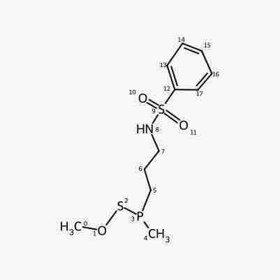 COSP(C)CCCNS(=O)(=O)c1ccccc1